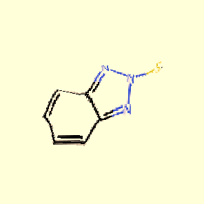 [S]n1nc2ccccc2n1